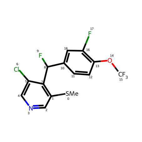 CSc1cncc(Cl)c1C(F)c1ccc(OC(F)(F)F)c(F)c1